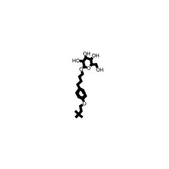 CC(C)(C)CCOc1ccc(CCCCOC2OC(CO)C(O)C(O)C2O)cc1